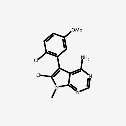 COc1ccc(Cl)c(-c2c(Cl)n(C)c3ncnc(N)c23)c1